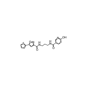 O=C(NCCCNC(=O)c1cc(-c2cccs2)on1)c1ccc(O)nc1